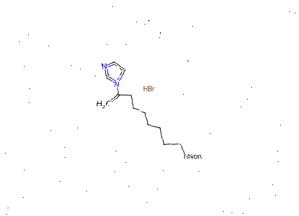 Br.C=C(CCCCCCCCCCCCCCCC)n1ccnc1